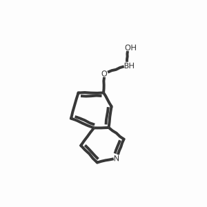 OBOc1ccc2ccncc2c1